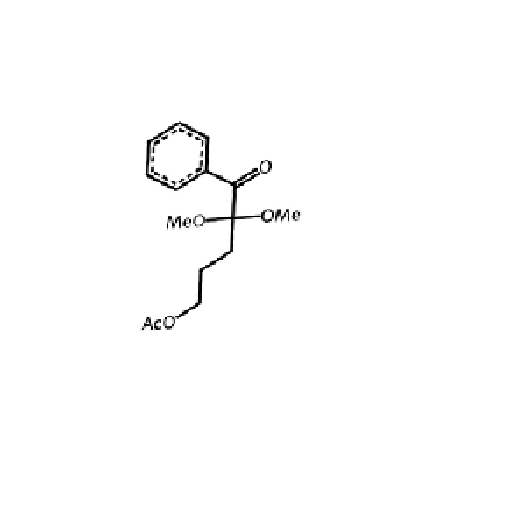 COC(CCCOC(C)=O)(OC)C(=O)c1ccccc1